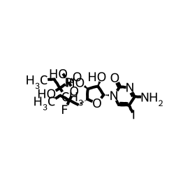 CCC(F)(C[C@H]1O[C@@H](n2cc(I)c(N)nc2=O)[C@H](O)[C@@H]1O)OP(=O)(O)C(C)(O)CC